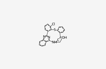 OC12CCC(C1)Nc1nc(nc3ccccc13)-c1cccc(Cl)c1Sc1ccccc12